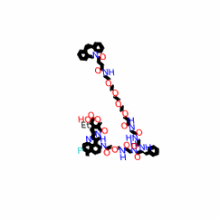 CC[C@@]1(O)C(=O)OCc2c1cc1n(c2=O)Cc2c-1nc1cc(F)c(C)c3c1c2[C@@H](NC(=O)COCNC(=O)CNC(=O)[C@H](Cc1ccccc1)NC(=O)CNC(=O)CNC(=O)CCOCCOCCOCCOCCNC(=O)CCC(=O)N1Cc2ccccc2C#Cc2ccccc21)CC3